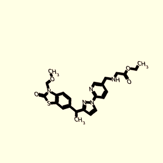 CCOC(=O)CNCc1ccc(-n2ccc(C(C)c3ccc4c(c3)sc(=O)n4COC)n2)nc1